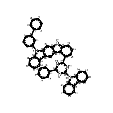 c1ccc(-c2cccc(-n3c4ccccc4c4cc5c(cc43)oc3cccc(-c4nc(-c6ccccc6)nc(-n6c7ccccc7c7ccccc76)n4)c35)c2)cc1